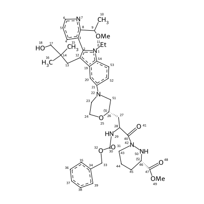 CCn1c(-c2cccnc2C(C)OC)c(CC(C)(C)CO)c2cc(N3CCO[C@@H](CC(NC(=O)OCc4ccccc4)C(=O)N4CCC[C@@H](C(=O)OC)N4)C3)ccc21